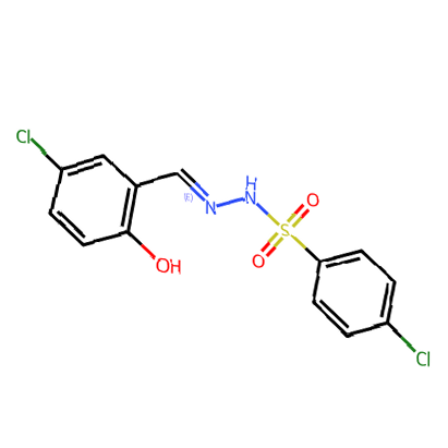 O=S(=O)(N/N=C/c1cc(Cl)ccc1O)c1ccc(Cl)cc1